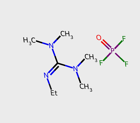 CCN=C(N(C)C)N(C)C.O=P(F)(F)F